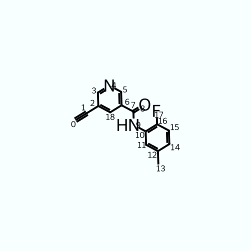 C#Cc1cncc(C(=O)Nc2cc(C)ccc2F)c1